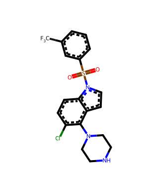 O=S(=O)(c1cccc(C(F)(F)F)c1)n1ccc2c(N3CCNCC3)c(Cl)ccc21